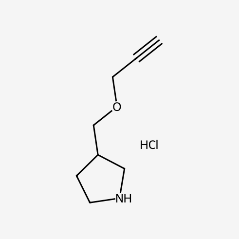 C#CCOCC1CCNC1.Cl